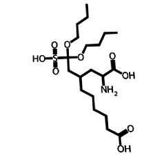 CCCCOC(CC(CCCCCC(=O)O)CC(N)C(=O)O)(OCCCC)S(=O)(=O)O